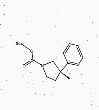 CC(C)(C)OC(=O)N1CC[C@@](C)(c2ccccc2)C1